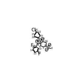 CS(=O)(=O)C1CCC(Cc2cc(F)ccc2F)(S(=O)(=O)c2ccc(Cl)cc2)CC1